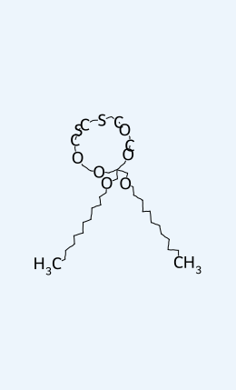 CCCCCCCCCCCCOCC1(COCCCCCCCCCCCC)COCCOCCSCCSCCOCCOC1